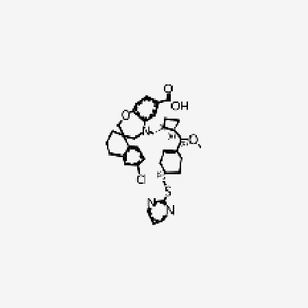 CO[C@@H](C1=CC[C@@H](CSc2ncccn2)CC1)[C@@H]1CC[C@H]1CN1CC2(CCCc3cc(Cl)ccc32)COc2ccc(C(=O)O)cc21